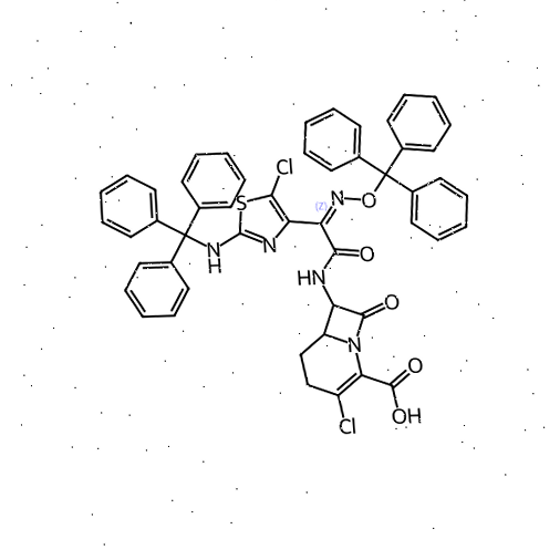 O=C(O)C1=C(Cl)CCC2C(NC(=O)/C(=N\OC(c3ccccc3)(c3ccccc3)c3ccccc3)c3nc(NC(c4ccccc4)(c4ccccc4)c4ccccc4)sc3Cl)C(=O)N12